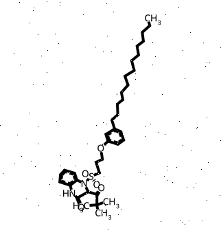 CCCCCCCCCCCCCCCc1cccc(OCCCS(=O)(=O)N2c3ccccc3NC(=O)C2C(=O)C(C)(C)C)c1